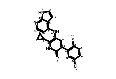 O=c1[nH]c(C2CC2)c(Nc2ccnc3[nH]ccc23)cc1-c1cc(Cl)ccc1F